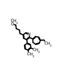 CCC1=CC=C(c2ncc(CCCCOC)cc2-c2ccc(C)c(C)c2)CC=C1